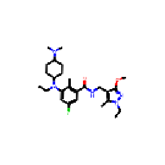 CCN(c1cc(Cl)cc(C(=O)NCc2c(OC)nn(CC)c2C)c1C)C1CCC(N(C)C)CC1